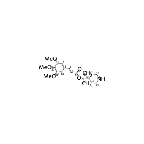 COc1cc(/C=C/C(=O)OC(C)(C)C2CCNCC2)cc(OC)c1OC